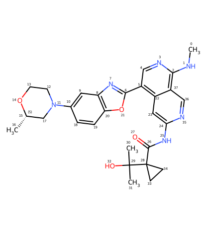 CNc1ncc(-c2nc3cc(N4CCO[C@@H](C)C4)ccc3o2)c2cc(NC(=O)C3(C(C)(C)O)CC3)ncc12